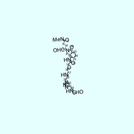 CNC(=O)CCC(C=O)N1Cc2c(NC(=O)COCCNCCn3cc(CNC=O)nn3)cccc2C1=O